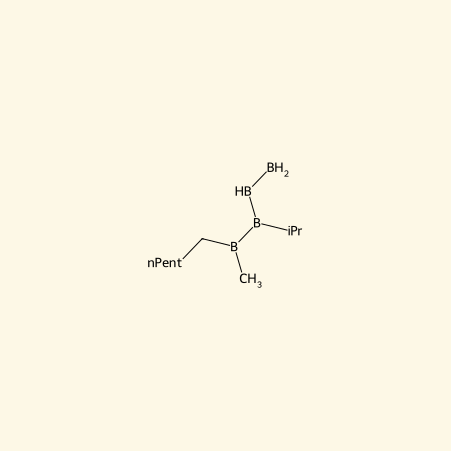 BBB(B(C)CCCCCC)C(C)C